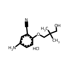 CC(C)(CO)COc1ccc(N)cc1C#N.Cl